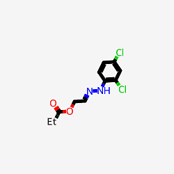 CCC(=O)OCC=NNc1ccc(Cl)cc1Cl